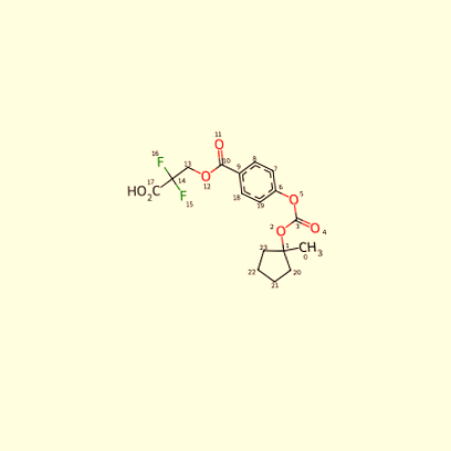 CC1(OC(=O)Oc2ccc(C(=O)OCC(F)(F)C(=O)O)cc2)CCCC1